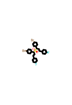 O=S(=O)(C(C=Cc1ccc(F)cc1)c1ccc(Br)cc1)C(C=Cc1ccc(F)cc1)c1ccc(Br)cc1